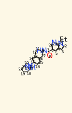 CCn1ccc2cc(C(=O)N[C@@H]3CCc4cc(N5CC6CCC(C5)N6)ccc4C3)cnc21